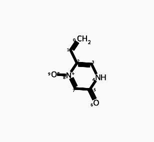 C=Cc1c[nH]c(=O)c[n+]1[O-]